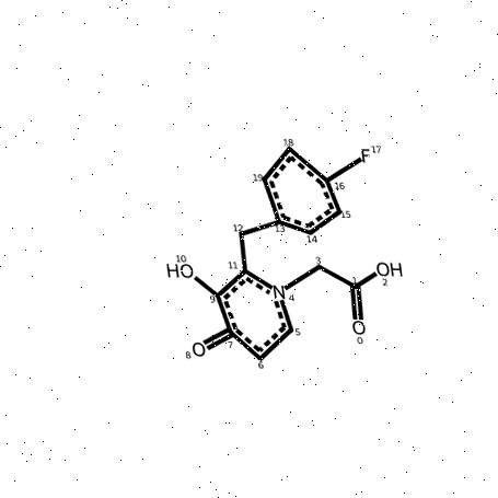 O=C(O)Cn1ccc(=O)c(O)c1Cc1ccc(F)cc1